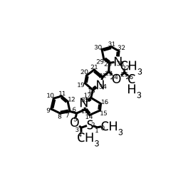 CCSC(C)OC(c1ccccc1)c1cccc(-c2cccc(C(OC(C)C)c3ccccn3)n2)n1